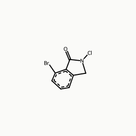 O=C1c2c(Br)cccc2CN1Cl